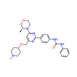 C[C@H]1COCCN1c1cc(COC2CCN(C)CC2)nc(-c2ccc(NC(=O)Nc3ccccc3)cc2)n1